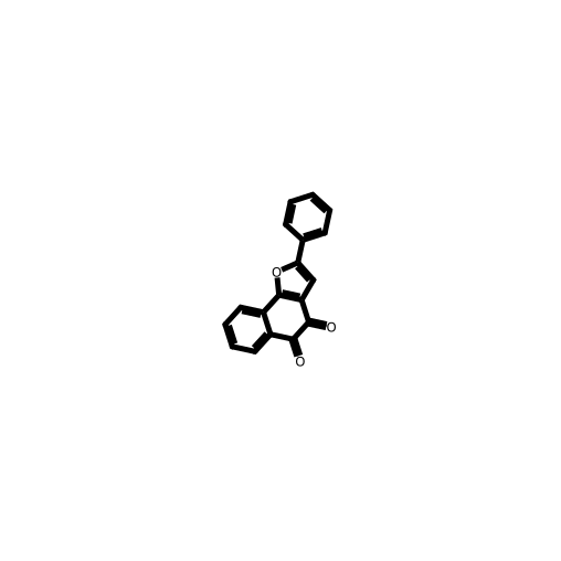 O=C1C(=O)c2cc(-c3ccccc3)oc2-c2ccccc21